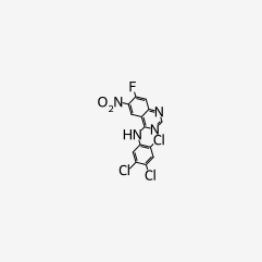 O=[N+]([O-])c1cc2c(Nc3cc(Cl)c(Cl)cc3Cl)ncnc2cc1F